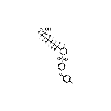 Cc1ccc(Oc2ccc(S(=O)(=O)c3ccc(C)c(C(F)(F)C(F)(F)C(F)(F)C(F)(F)C(F)(F)C(F)(F)S(=O)(=O)O)c3)cc2)cc1